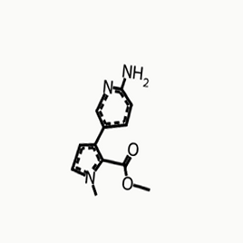 COC(=O)c1c(-c2ccc(N)nc2)ccn1C